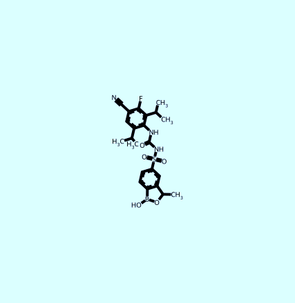 CC(C)c1cc(C#N)c(F)c(C(C)C)c1NC(=O)NS(=O)(=O)c1ccc2c(c1)C(C)OB2O